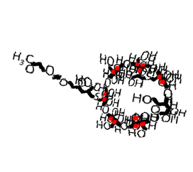 CNC(CSCC1O[C@H]2O[C@@H]3C(CO)OC(O[C@@H]4C(CO)OC(O[C@@H]5C(CO)O[C@H](O[C@@H]6C(CSCC(CC(=O)CCOCCOCCC(C)=O)C(=O)O)O[C@H](O[C@@H]7C(CO)O[C@@H](O[C@@H]8C(CO)O[C@@H](O[C@H]1[C@H](O)C2O)C(O)[C@H]8O)C(O)[C@H]7O)C(O)[C@H]6O)C(O)[C@H]5O)[C@@H](O)[C@H]4O)[C@@H](O)[C@H]3O)C(O)O